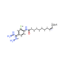 CCCCCCCC/C=C\CCCCCCCC(=O)Nc1ccc(/C(=N/N)NN)cc1F